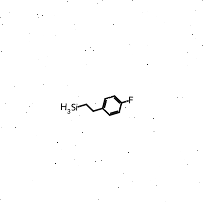 Fc1ccc(CC[SiH3])cc1